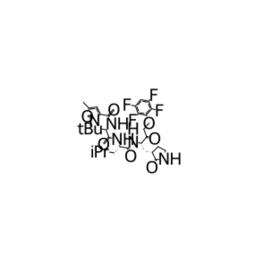 Cc1cc(C(=O)NC(C(=O)N[C@@H](CC(C)C)C(=O)N[C@@H](C[C@@H]2CCNC2=O)C(=O)COc2c(F)c(F)cc(F)c2F)C(C)(C)C)no1